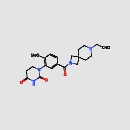 COc1ccc(C(=O)N2CC3(CCN(CC=O)CC3)C2)cc1N1CCC(=O)NC1=O